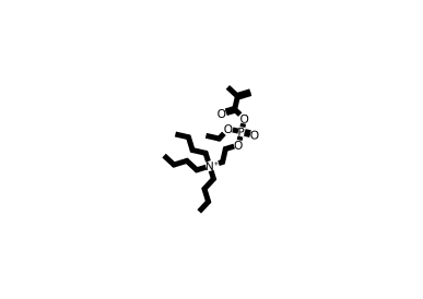 C=C(C)C(=O)OP(=O)(OCC)OCC[N+](CCCC)(CCCC)CCCC